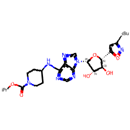 CC(C)OC(=O)N1CCC(Nc2ncnc3c2ncn3[C@@H]2O[C@H](c3cc(C(C)(C)C)no3)[C@@H](O)[C@@H]2O)CC1